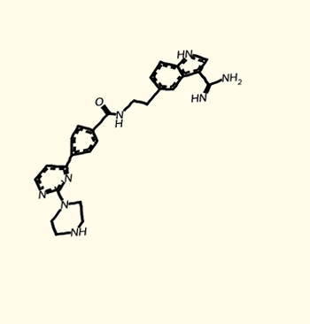 N=C(N)c1c[nH]c2ccc(CCNC(=O)c3ccc(-c4ccnc(N5CCNCC5)n4)cc3)cc12